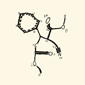 COC(=O)CC(c1ccccc1)C(C#N)C(=O)OC